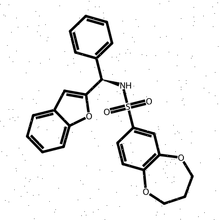 O=S(=O)(N[C@H](c1ccccc1)c1cc2ccccc2o1)c1ccc2c(c1)OCCCO2